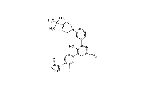 Cc1cc(-c2ccc(-n3ccsc3=O)c(Cl)c2)c(O)c(-c2cccc(N3CCN(C(C)(C)C)CC3)c2)n1